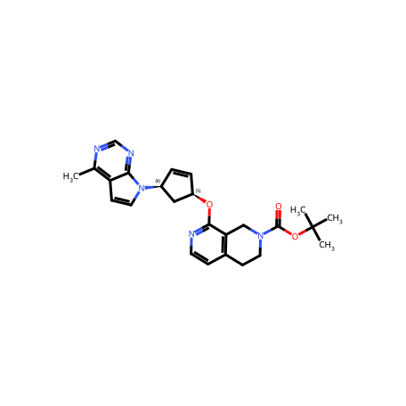 Cc1ncnc2c1ccn2[C@H]1C=C[C@@H](Oc2nccc3c2CN(C(=O)OC(C)(C)C)CC3)C1